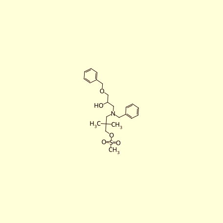 CC(C)(COS(C)(=O)=O)CN(Cc1ccccc1)CC(O)COCc1ccccc1